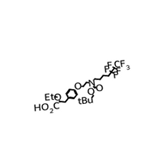 CCOC(Cc1ccc(OCCN(CCCCC(F)(F)C(F)(F)C(F)(F)F)C(=O)OCC(C)(C)C)cc1)C(=O)O